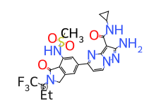 CC[C@H](N1Cc2cc(-c3ccn4nc(N)c(C(=O)NC5CC5)c4n3)cc(NS(C)(=O)=O)c2C1=O)C(F)(F)F